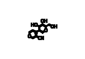 N#CC1COCCN1[C@@H]1[CH]O[C@H](CO)[C@@H](O)[C@@H]1O